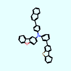 c1cc(-c2ccc3c(c2)sc2ccccc23)cc(N(c2ccc(-c3ccc4ccccc4c3)cc2)c2ccc3oc4ccccc4c3c2)c1